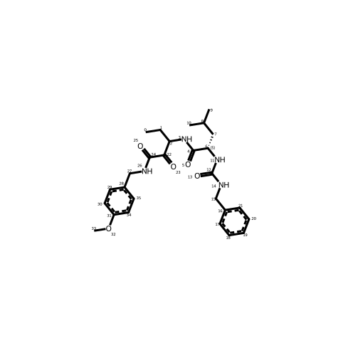 CCC(NC(=O)[C@H](CC(C)C)NC(=O)NCc1ccccc1)C(=O)C(=O)NCc1ccc(OC)cc1